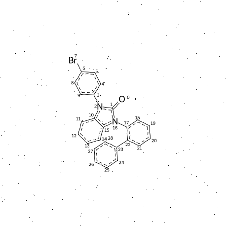 O=c1n(-c2ccc(Br)cc2)c2ccccc2n1-c1ccccc1-c1ccccc1